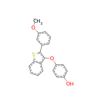 COc1cccc(-c2sc3ccccc3c2Oc2ccc(O)cc2)c1